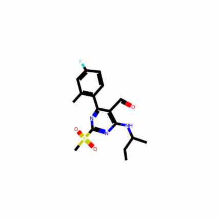 CCC(C)Nc1nc(S(C)(=O)=O)nc(-c2ccc(F)cc2C)c1C=O